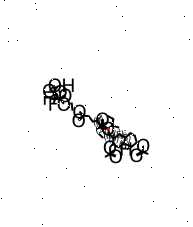 CCC(C[C@H]1[C@H]([C@@H]2CC[C@H]([C@H](C)CCC(=O)OCCOC(=O)C(F)(F)S(=O)(=O)O)C2)C(OC(C)=O)C[C@@H]2CC(OC(C)=O)CC[C@@]21C)OC(C)=O